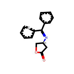 O=C1C[C@H](N=C(c2ccccc2)c2ccccc2)CO1